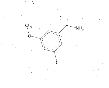 NCc1cc(Cl)cc(OC(F)(F)F)c1